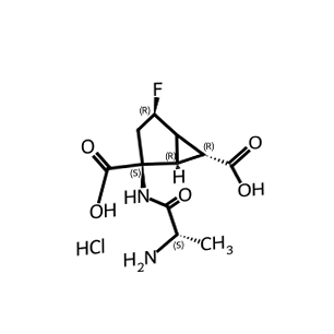 C[C@H](N)C(=O)N[C@@]1(C(=O)O)C[C@@H](F)C2[C@H](C(=O)O)[C@H]21.Cl